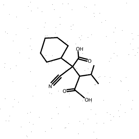 CC(C)C(C(=O)O)C(C#N)(C(=O)O)C1CCCCC1